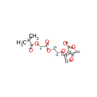 C=C(C)C(=O)OCC(=O)OCCOC1C2CC3C(=O)OC1C3O2